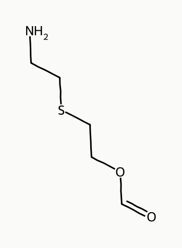 NCCSCCOC=O